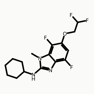 Cn1c(NC2CCCCC2)nc2c(F)cc(OCC(F)F)c(F)c21